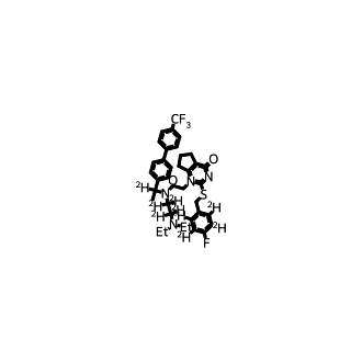 [2H]c1c([2H])c(CSc2nc(=O)c3c(n2CC(=O)N(C([2H])(C)c2ccc(-c4ccc(C(F)(F)F)cc4)cc2)C([2H])([2H])C([2H])([2H])N(CC)CC)CCC3)c([2H])c([2H])c1F